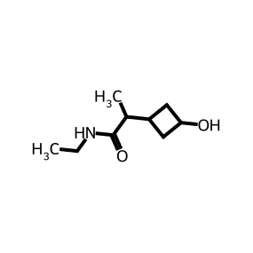 CCNC(=O)C(C)C1CC(O)C1